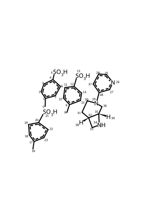 Cc1ccc(S(=O)(=O)O)cc1.Cc1ccc(S(=O)(=O)O)cc1.Cc1ccc(S(=O)(=O)O)cc1.c1cncc(N2CC[C@H]3CN[C@H]3C2)c1